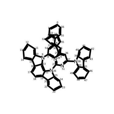 c1ccc(-c2cccc(-n3c4ccccc4c4ccc5c6ccccc6n(-c6nc(-c7ccccc7)cc(-n7c8ccccc8c8ccccc87)n6)c5c43)c2)cc1